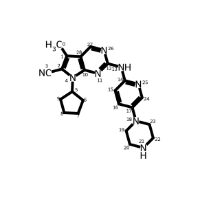 Cc1c(C#N)n(C2CCCC2)c2nc(Nc3ccc(N4CCNCC4)cn3)ncc12